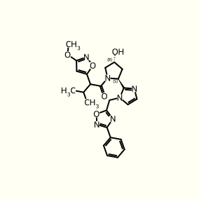 COc1cc(C(C(=O)N2C[C@H](O)C[C@H]2c2nccn2Cc2nc(-c3ccccc3)no2)C(C)C)on1